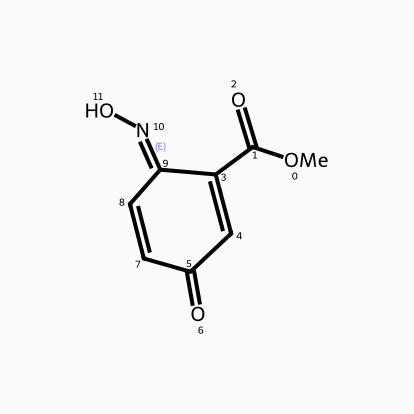 COC(=O)C1=CC(=O)C=C/C1=N\O